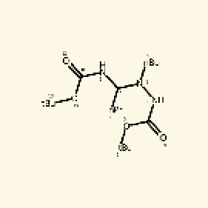 CCCCN(NC(=O)OC(C)(C)C)C(CCC)NC(=O)OC(C)(C)C